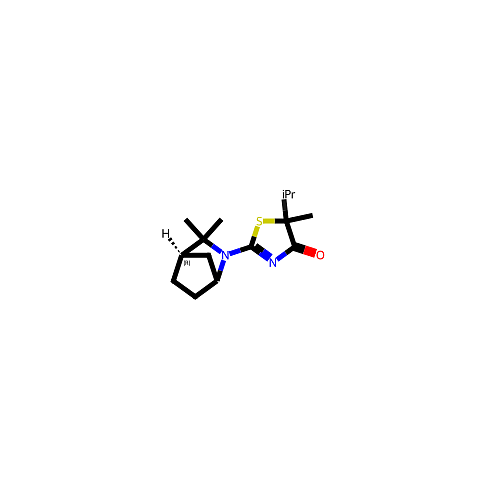 CC(C)C1(C)SC(N2C3CC[C@H](C3)C2(C)C)=NC1=O